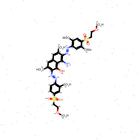 COc1cc(S(=O)(=O)CCOS(=O)(=O)O)c(OC)cc1/N=N/c1c(S(=O)(=O)O)cc2cc(S(=O)(=O)O)c(/N=N/c3ccc(S(=O)(=O)CCOS(=O)(=O)O)cc3S(=O)(=O)O)c(O)c2c1N